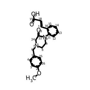 COc1ccc(CN2CCN(c3ccccc3C=CC(=O)O)C(=O)C2)cc1